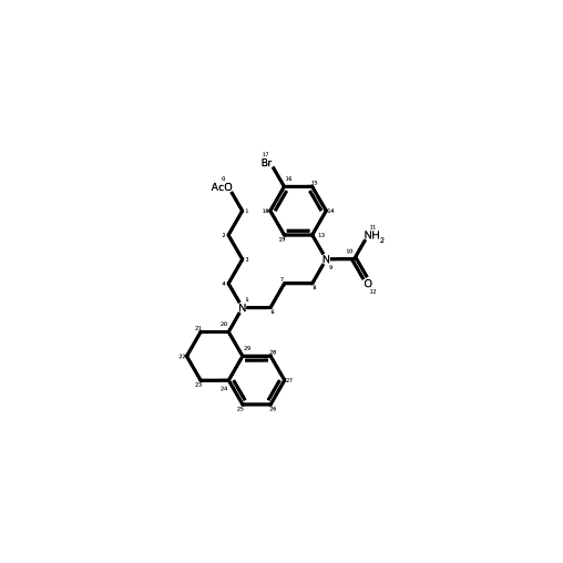 CC(=O)OCCCCN(CCCN(C(N)=O)c1ccc(Br)cc1)C1CCCc2ccccc21